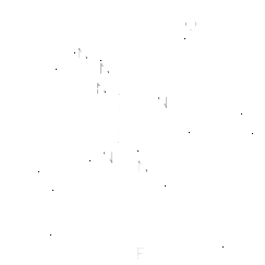 COc1ccc(-n2nccn2)c(C(=O)N2CCCC2c2nc(-c3cccc(F)c3C)no2)c1